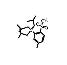 Cc1ccc(S(=O)(=O)O)c([Si](CC(C)C)(CC(C)C)CC(C)C)c1